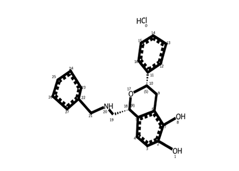 Cl.Oc1ccc2c(c1O)C[C@@H](c1ccccc1)O[C@H]2CNCc1ccccc1